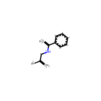 C=C(NCC(=C)C(C)C)c1ccccc1